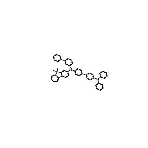 CC1(C)c2ccccc2-c2ccc(N(c3ccc(-c4ccc(N(c5ccccc5)c5ccccc5)cc4)cc3)c3cccc(-c4ccccc4)c3)cc21